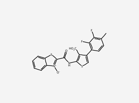 Cc1ccc(-c2csc(NC(=O)c3sc4ccccc4[n+]3[O-])c2C(=O)O)c(F)c1F